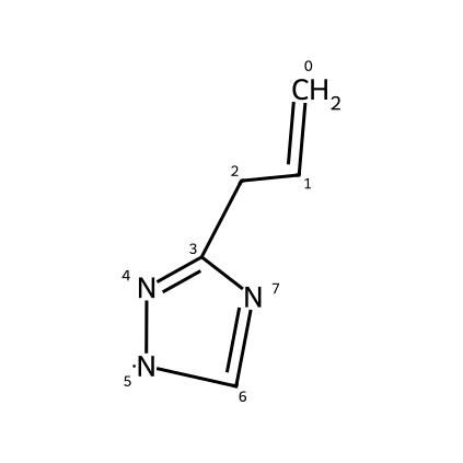 C=CCC1=N[N]C=N1